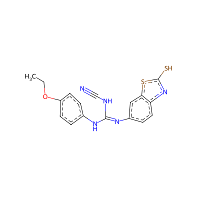 CCOc1ccc(NC(=Nc2ccc3nc(S)sc3c2)NC#N)cc1